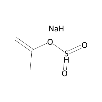 C=C(C)O[SH](=O)=O.[NaH]